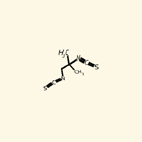 CC(C)(CN=C=S)N=C=S